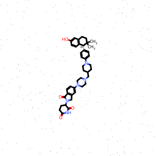 CC1(C)CCc2cc(O)ccc2[C@H]1c1ccc(N2CCC(CN3CCN(c4ccc5c(c4)CN(C4CCC(=O)NC4=O)C5=O)CC3)CC2)cc1